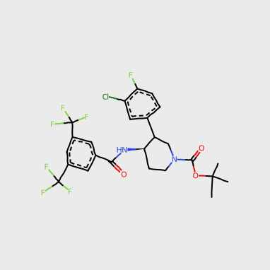 CC(C)(C)OC(=O)N1CC[C@@H](NC(=O)c2cc(C(F)(F)F)cc(C(F)(F)F)c2)C(c2ccc(F)c(Cl)c2)C1